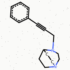 C(#Cc1ccccc1)CN1CCN2CCC1CC2